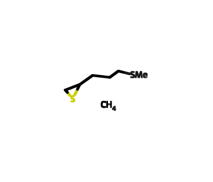 C.CSCCCC1CS1